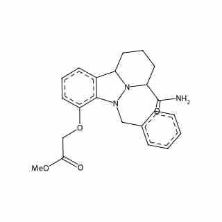 COC(=O)COc1cccc2c1N(Cc1ccccc1)N1C(C(N)=O)CCCC21